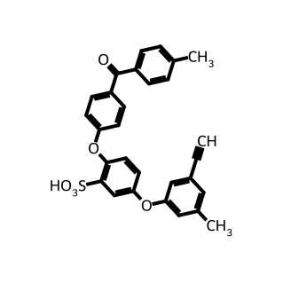 C#Cc1cc(C)cc(Oc2ccc(Oc3ccc(C(=O)c4ccc(C)cc4)cc3)c(S(=O)(=O)O)c2)c1